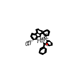 O=C([NH][Hf+2]([CH]1c2ccccc2-c2ccccc21)[SiH](c1ccccc1)c1ccccc1)c1ccccc1.[Cl-].[Cl-]